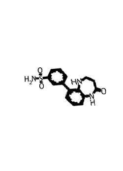 NS(=O)(=O)c1cccc(-c2cccc3c2NCCC(=O)N3)c1